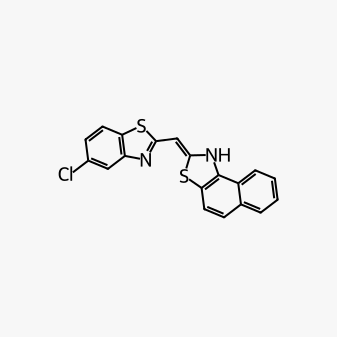 Clc1ccc2sc(/C=C3/Nc4c(ccc5ccccc45)S3)nc2c1